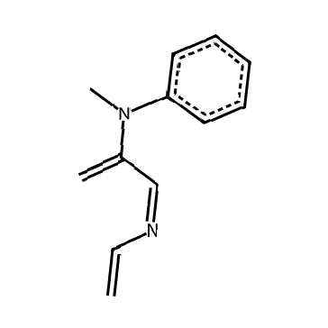 C=C/N=C\C(=C)N(C)c1ccccc1